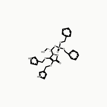 O=C1O[C@H]([C@H](CO)OP(=O)(OCc2ccccc2)OCc2ccccc2)C(OCc2cc[nH]c2)=C1OCc1cc[nH]c1